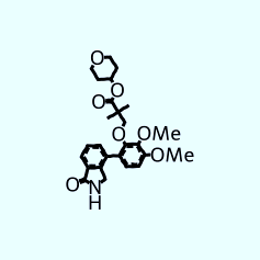 COc1ccc(-c2cccc3c2CNC3=O)c(OCC(C)(C)C(=O)OC2CCOCC2)c1OC